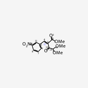 COC(=O)/C(=C/c1cccc([N+](=O)[O-])c1)C(=O)C(OC)OC